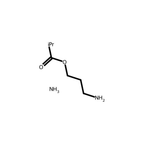 CC(C)C(=O)OCCCN.N